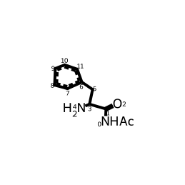 CC(=O)NC(=O)C(N)Cc1ccccc1